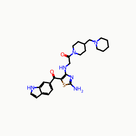 Nc1nc(NCC(=O)N2CCC(CN3CCCCC3)CC2)c(C(=O)c2ccc3cc[nH]c3c2)s1